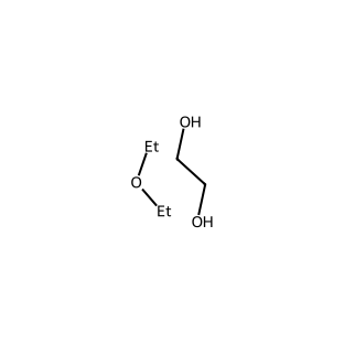 CCOCC.OCCO